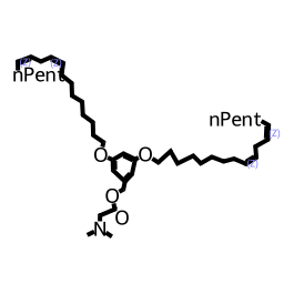 CCCCC/C=C\C/C=C\CCCCCCCCOc1cc(COC(=O)CN(C)C)cc(OCCCCCCCC/C=C\C/C=C\CCCCC)c1